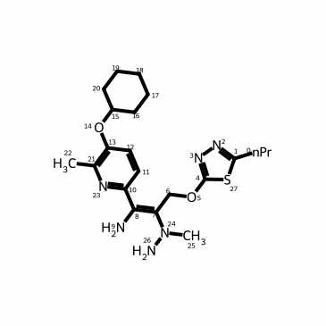 CCCc1nnc(OC/C(=C(/N)c2ccc(OC3CCCCC3)c(C)n2)N(C)N)s1